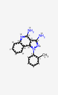 Cc1ccccc1-n1nc(N)c2c(N)nc3ccccc3c21